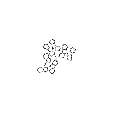 c1ccc(C2(c3ccccc3)c3ccccc3-c3cc(N(c4ccc5c(c4)C4(c6ccccc6-c6ccccc64)c4ccccc4-5)c4ccc5c(c4)C4(c6ccccc6-5)c5ccc6ccccc6c5Oc5c4ccc4ccccc54)ccc32)cc1